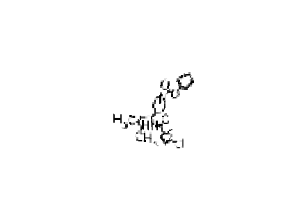 CCC(C)CC(NC(=O)c1ccc(Cl)s1)C1CCN(C(=O)Oc2ccccc2)CC1